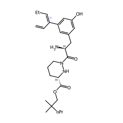 C=C/C(=C\CC)c1cc(O)cc(C[C@H](N)C(=O)N2CCC[C@@H](C(=O)OCC(C)(C)CCC)N2)c1